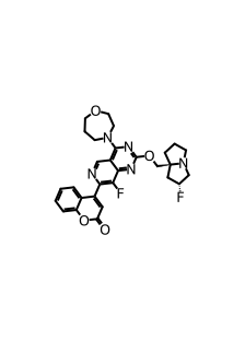 O=c1cc(-c2ncc3c(N4CCCOCC4)nc(OC[C@@]45CCCN4C[C@H](F)C5)nc3c2F)c2ccccc2o1